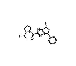 O=C(c1nc2n(n1)[C@H](c1ccccc1)C[C@@H]2F)N1CCCC1C(F)F